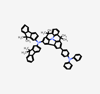 CC1(C)c2ccccc2-c2ccc(N(c3ccc4c(c3)C(C)(C)c3ccccc3-4)c3cc4c5c(c3)c3cc(-c6ccc(N(c7ccccc7)c7ccccc7)cc6)cc6c3n5-c3c(cccc3C4(C)C)C6(C)C)cc21